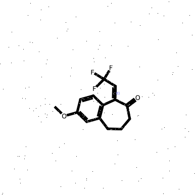 COc1ccc2c(c1)CCCC(=O)/C2=C/C(F)(F)F